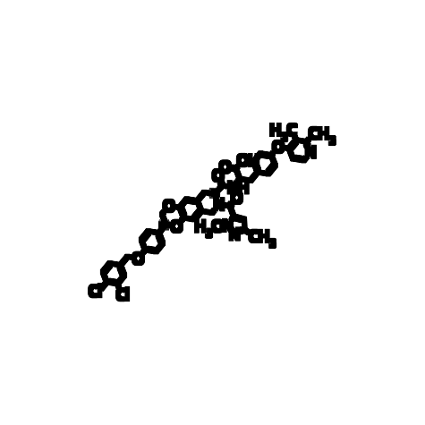 Cc1cc(C(=O)N2Cc3cc4c(cc3C[C@H]2C(=O)NC(Cc2ccc(Oc3ccnc(C)c3C)cc2)C(=O)O)OC[C@H](c2ccc(OCc3ccc(Cl)c(Cl)c3)cc2)O4)n(C)n1